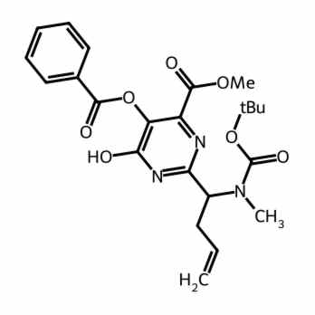 C=CCC(c1nc(O)c(OC(=O)c2ccccc2)c(C(=O)OC)n1)N(C)C(=O)OC(C)(C)C